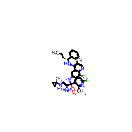 Cc1nc(F)ccc1C(O)(Nc1cc(Cl)c2ncc(C#N)c(N[C@H](CCC#N)c3ccccc3)c2c1)C1=CN(C2(C(F)(F)F)CC2)NN1